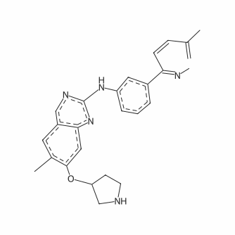 C=C(C)/C=C\C(=N/C)c1cccc(Nc2ncc3cc(C)c(OC4CCNC4)cc3n2)c1